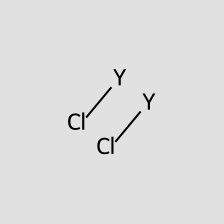 [Cl][Y].[Cl][Y]